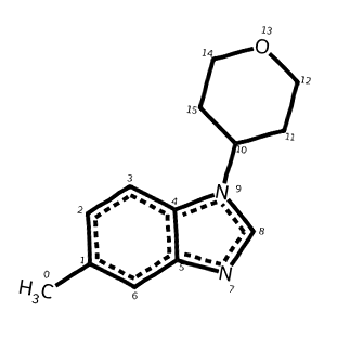 Cc1ccc2c(c1)ncn2C1CCOCC1